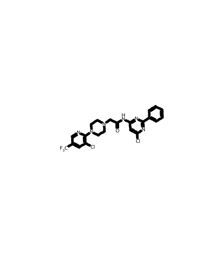 O=C(CN1CCN(c2ncc(C(F)(F)F)cc2Cl)CC1)Nc1cc(Cl)nc(-c2ccccc2)n1